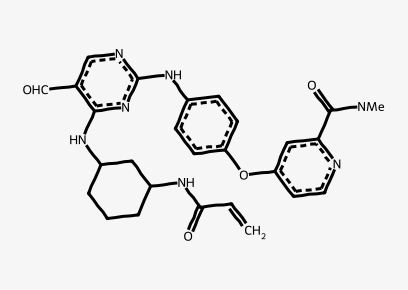 C=CC(=O)NC1CCCC(Nc2nc(Nc3ccc(Oc4ccnc(C(=O)NC)c4)cc3)ncc2C=O)C1